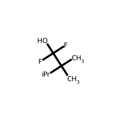 CC(C)C(C)(C)C(O)(F)F